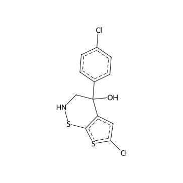 OC1(c2ccc(Cl)cc2)CNSc2sc(Cl)cc21